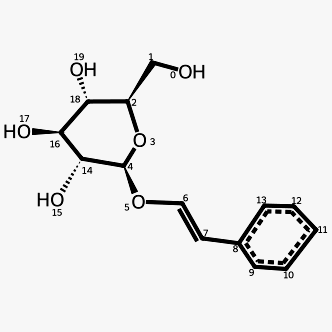 OC[C@H]1O[C@@H](OC=Cc2ccccc2)[C@H](O)[C@@H](O)[C@@H]1O